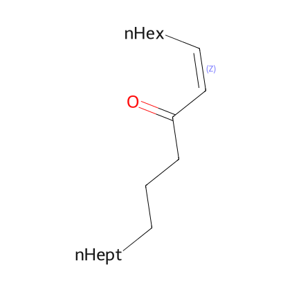 CCCCCC/C=C\C(=O)CCCCCCCCCC